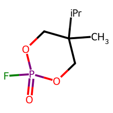 CC(C)C1(C)COP(=O)(F)OC1